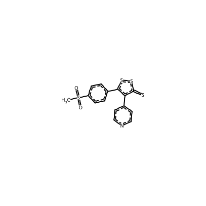 CS(=O)(=O)c1ccc(-c2ssc(=S)c2-c2ccncc2)cc1